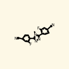 Cn1c(-c2ccc(C#N)cc2F)nnc1-c1ccc(C#N)cc1F